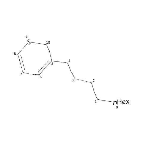 CCCCCCCCCCC1=CC=CSC1